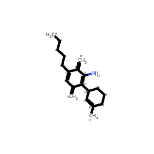 C=c1cc(CCCCC)c(=C)c(N)c1C1C=C(C)CCC1